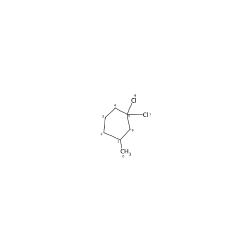 CC1CCCC(Cl)(Cl)C1